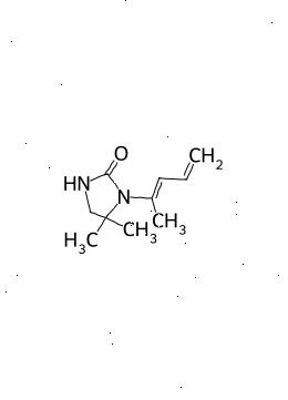 C=C/C=C(\C)N1C(=O)NCC1(C)C